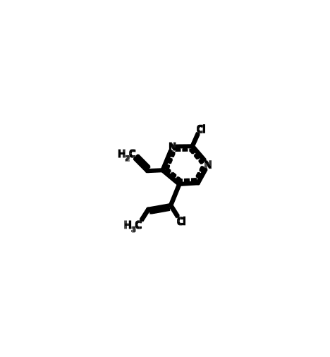 C=Cc1nc(Cl)ncc1C(Cl)=CC